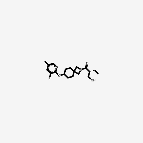 CC[C@H](CO)C(=O)N1CC2(CCC(Oc3ncc(C)cc3F)CC2)C1